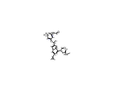 CNC(=O)CN(C=O)c1cc(C2CC2)cn2cc(C(C)OC(/C=C(\N)NC=O)=C/N)nc12